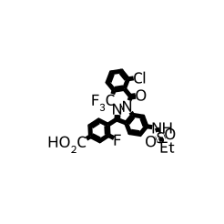 CCS(=O)(=O)Nc1ccc2c(-c3ccc(C(=O)O)cc3F)nn(C(=O)c3c(Cl)cccc3C(F)(F)F)c2c1